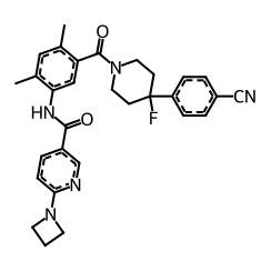 Cc1cc(C)c(C(=O)N2CCC(F)(c3ccc(C#N)cc3)CC2)cc1NC(=O)c1ccc(N2CCC2)nc1